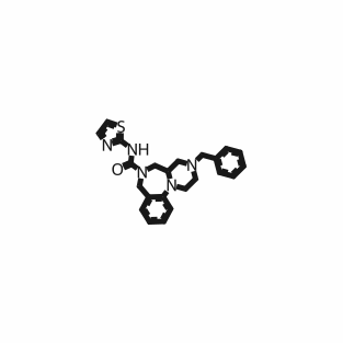 O=C(Nc1nccs1)N1Cc2ccccc2N2CCN(Cc3ccccc3)CC2C1